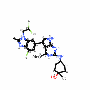 CCC1(O)CCC(Nc2nc(OC)c3c(-c4cc(F)c5nc(C)n(CC(F)F)c5c4)c[nH]c3n2)CC1